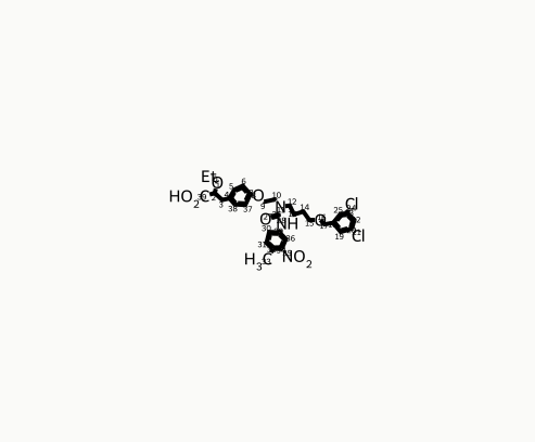 CCOC(Cc1ccc(OCCN(CCCCOCc2cc(Cl)cc(Cl)c2)C(=O)Nc2ccc(C)c([N+](=O)[O-])c2)cc1)C(=O)O